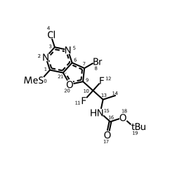 CSc1nc(Cl)nc2c(Br)c(C(F)(F)C(C)NC(=O)OC(C)(C)C)oc12